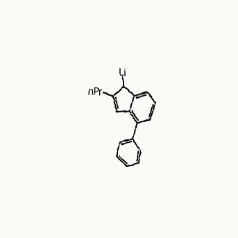 [Li][CH]1C(CCC)=Cc2c(-c3ccccc3)cccc21